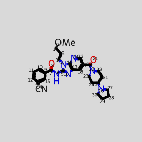 COCCCn1c(NC(=O)c2cccc(C#N)c2)nc2cc(C(=O)N3CCC(N4CCCC4)CC3)cnc21